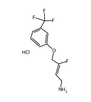 Cl.NCC=C(F)COc1cccc(C(F)(F)F)c1